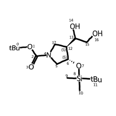 CC(C)(C)OC(=O)N1C[C@@H](O[Si](C)(C)C(C)(C)C)[C@H](C(O)CO)C1